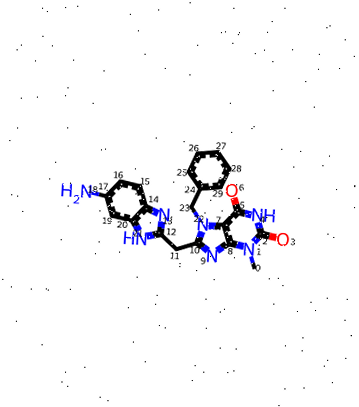 Cn1c(=O)[nH]c(=O)c2c1nc(Cc1nc3ccc(N)cc3[nH]1)n2Cc1ccccc1